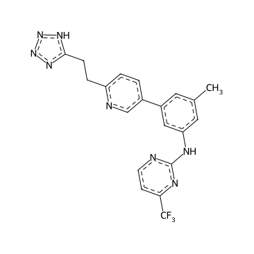 Cc1cc(Nc2nccc(C(F)(F)F)n2)cc(-c2ccc(CCc3nnn[nH]3)nc2)c1